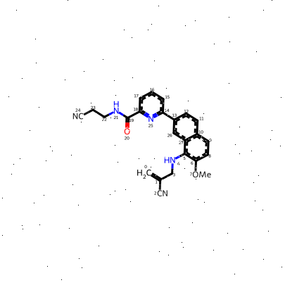 C=C(C#N)CNc1c(OC)ccc2ccc(-c3cccc(C(=O)NCCC#N)n3)cc12